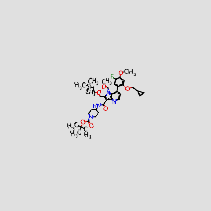 COCn1c(COCC[Si](C)(C)C)c(C(=O)NC2CCN(C(=O)OC(C)(C)C)CC2)c2nccc(-c3cc(F)c(OC)cc3OCC3CC3)c21